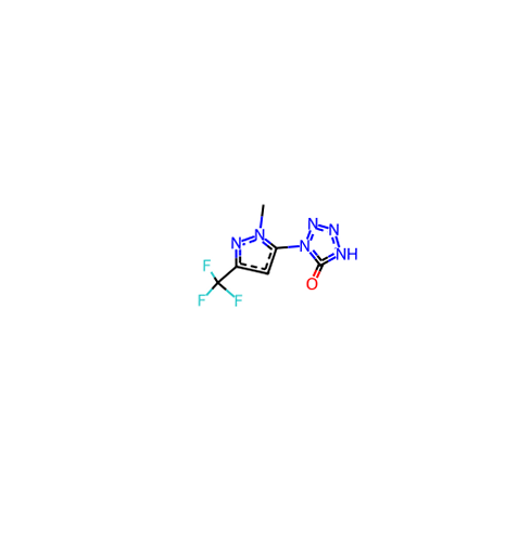 Cn1nc(C(F)(F)F)cc1-n1nn[nH]c1=O